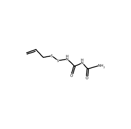 C=CCSSNC(=O)NC(N)=O